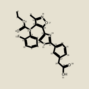 CCOC(=O)N(c1ccccc1F)c1c(C)noc1-c1csc(-c2cccc(CC(=O)O)c2)n1